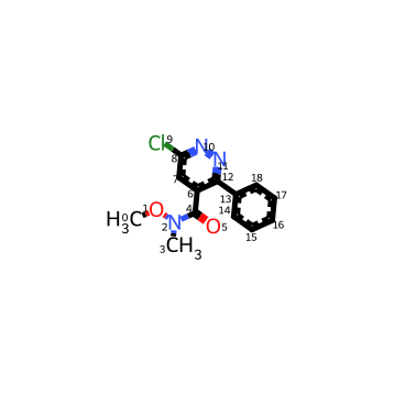 CON(C)C(=O)c1cc(Cl)nnc1-c1ccccc1